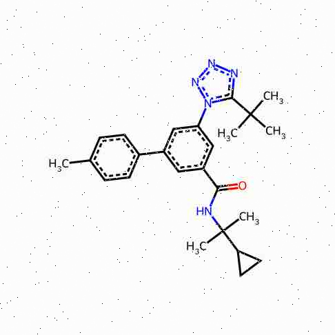 Cc1ccc(-c2cc(C(=O)NC(C)(C)C3CC3)cc(-n3nnnc3C(C)(C)C)c2)cc1